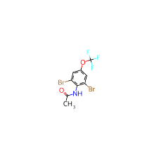 CC(=O)Nc1c(Br)cc(OC(F)(F)F)cc1Br